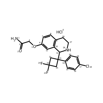 Cl.NC(=O)COc1ccc2c(c1)C(C1(c3ccc(Cl)cc3)CC(F)(F)C1)NCC2